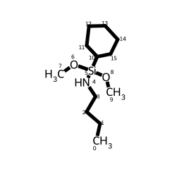 CCCCN[Si](OC)(OC)C1CCCCC1